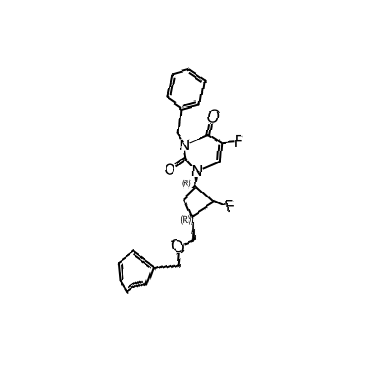 O=c1c(F)cn([C@@H]2C[C@H](COCc3ccccc3)C2F)c(=O)n1Cc1ccccc1